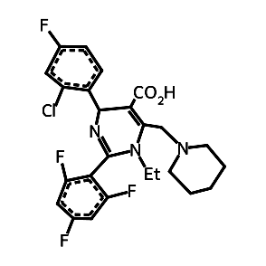 CCN1C(c2c(F)cc(F)cc2F)=NC(c2ccc(F)cc2Cl)C(C(=O)O)=C1CN1CCCCC1